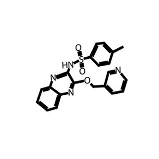 Cc1ccc(S(=O)(=O)Nc2nc3ccccc3nc2OCc2cccnc2)cc1